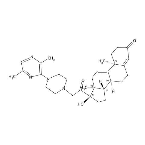 Cc1cnc(C)c(N2CCN(CC(=O)[C@@]3(O)CC[C@H]4[C@@H]5CCC6=CC(=O)CC[C@]6(C)C5=CC[C@@]43C)CC2)n1